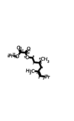 CC(=CC(C)C)CC(C)CCOC(=O)C(=O)OC(C)C